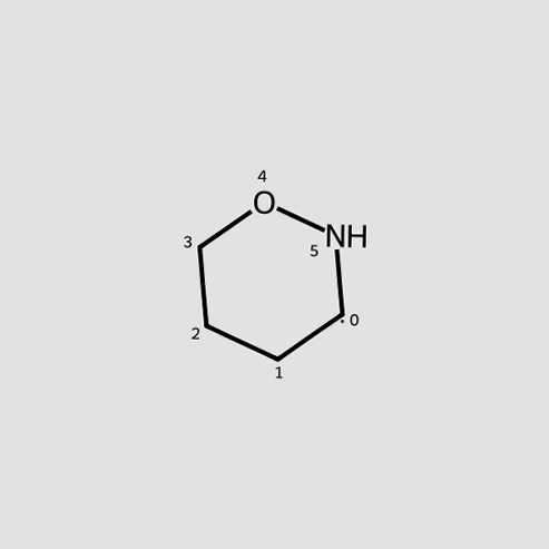 [CH]1CCCON1